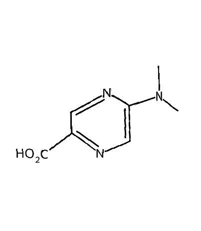 CN(C)c1cnc(C(=O)O)cn1